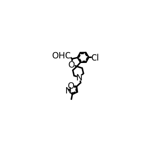 Cc1cc(CN2CCC3(CC2)OC(C=O)c2ccc(Cl)cc23)on1